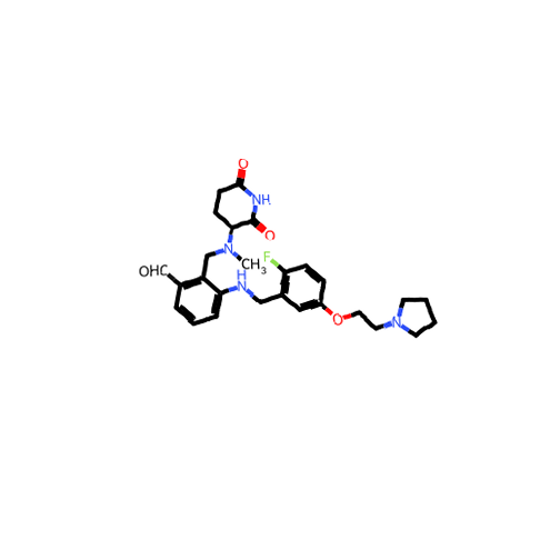 CN(Cc1c(C=O)cccc1NCc1cc(OCCN2CCCC2)ccc1F)C1CCC(=O)NC1=O